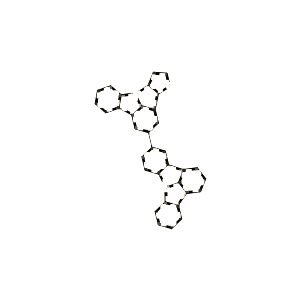 c1ccc2c(c1)c1cccc3c4cc(-c5cc6c7ccccc7n7c8ccsc8c(c5)c67)ccc4n2c13